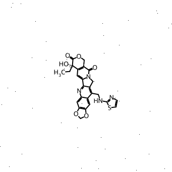 CC[C@@]1(O)C(=O)OCc2c1cc1n(c2=O)Cc2c-1nc1cc3c(cc1c2CNc1nccs1)OCO3